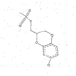 CS(=O)(=O)OCC1COc2ccc(Cl)cc2O1